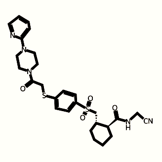 N#CCNC(=O)[C@H]1CCCC[C@@H]1CS(=O)(=O)c1ccc(SCC(=O)N2CCN(c3ccccn3)CC2)cc1